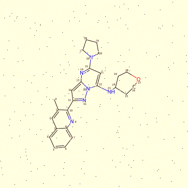 Cc1cc2ccccc2nc1-c1cc2nc(N3CCCC3)cc(NC3CCOCC3)n2n1